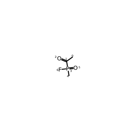 CC(=O)P(C)(=O)F